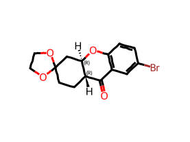 O=C1c2cc(Br)ccc2O[C@@H]2CC3(CC[C@@H]12)OCCO3